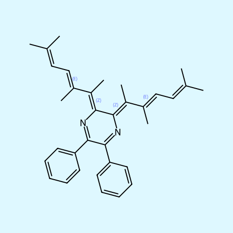 CC(C)=C/C=C(C)/C(C)=c1\nc(-c2ccccc2)c(-c2ccccc2)n\c1=C(C)/C(C)=C/C=C(C)C